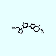 CN1c2ccc(-c3cncc(N4CCCC4CO)c3)cc2CCC1C=O